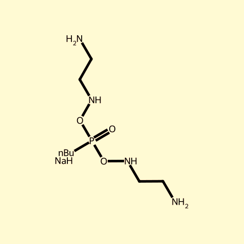 CCCCP(=O)(ONCCN)ONCCN.[NaH]